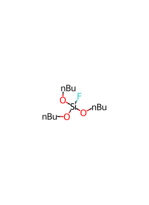 CCCCO[Si](F)(OCCCC)OCCCC